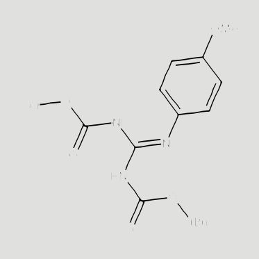 COc1ccc(N=C(NC(=O)OC(C)(C)C)NC(=O)OC(C)(C)C)cc1